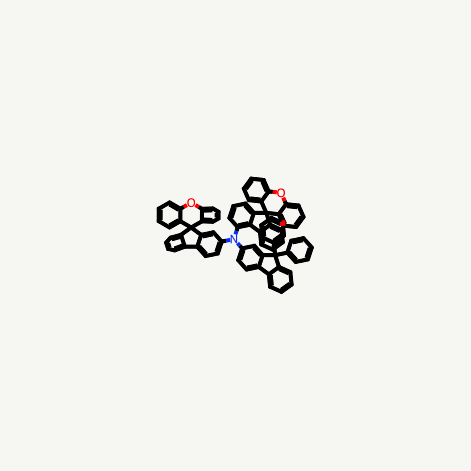 c1ccc(C2(c3ccccc3)c3ccccc3-c3ccc(N(c4ccc5c(c4)C4(c6ccccc6Oc6ccccc64)c4ccccc4-5)c4cccc5c4-c4ccccc4C54c5ccccc5Oc5ccccc54)cc32)cc1